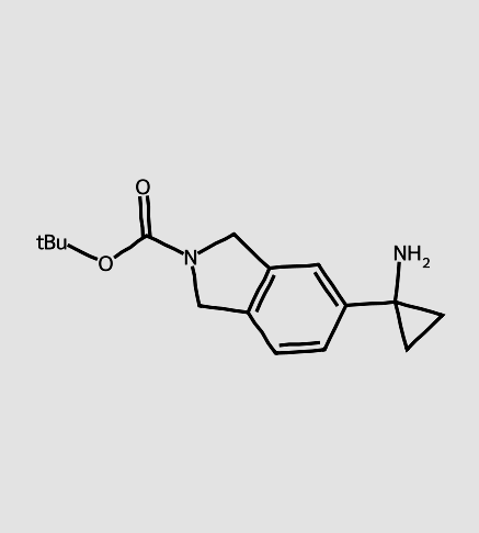 CC(C)(C)OC(=O)N1Cc2ccc(C3(N)CC3)cc2C1